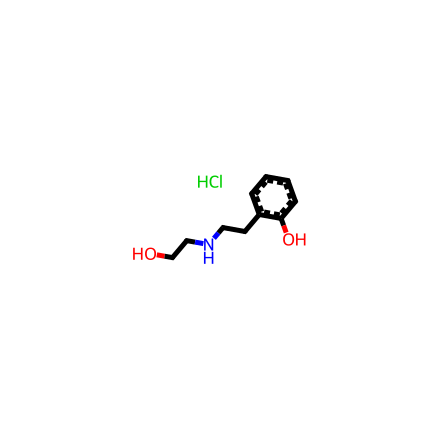 Cl.OCCNCCc1ccccc1O